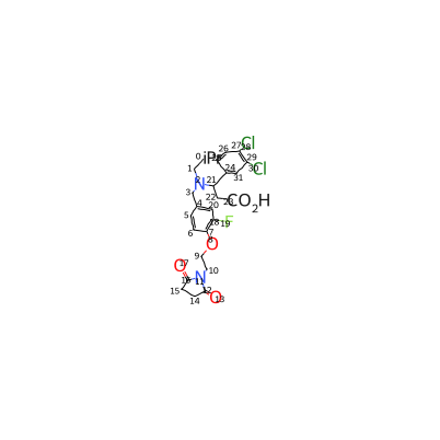 CC(C)CN(Cc1ccc(OCCN2C(=O)CCC2=O)c(F)c1)C(CC(=O)O)c1ccc(Cl)c(Cl)c1